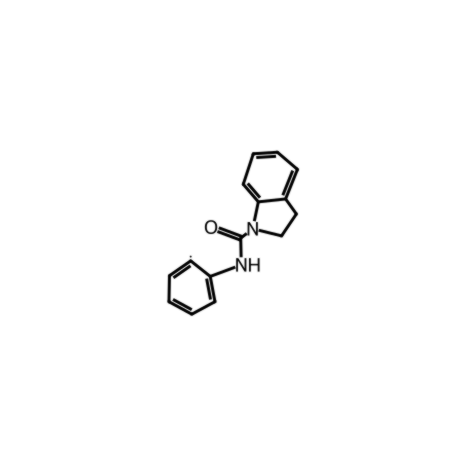 O=C(Nc1[c]cccc1)N1CCc2ccccc21